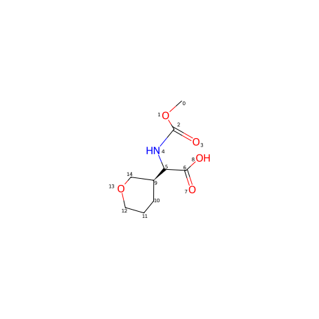 COC(=O)NC(C(=O)O)[C@H]1CCCOC1